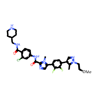 COCCn1ncc(-c2ccc(-c3cnc(C(=O)Nc4ccc(C(=O)NCC5CCNCC5)c(Cl)c4)n3C)c(F)c2F)c1C